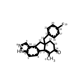 CC1=C2c3ccc4[nH]ncc4c3CC2(Cc2ccc(F)cc2)CCC1=O